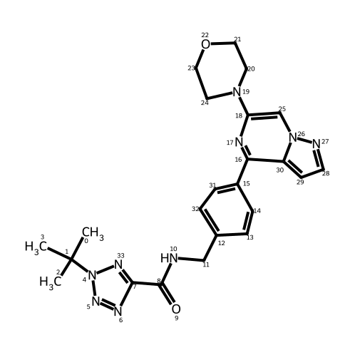 CC(C)(C)n1nnc(C(=O)NCc2ccc(-c3nc(N4CCOCC4)cn4nccc34)cc2)n1